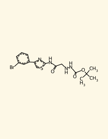 CC(C)(C)OC(=O)NNCC(=O)Nc1nc(-c2cccc(Br)c2)cs1